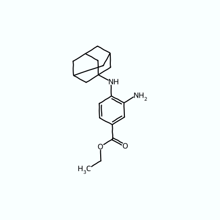 CCOC(=O)c1ccc(NC23CC4CC(CC(C4)C2)C3)c(N)c1